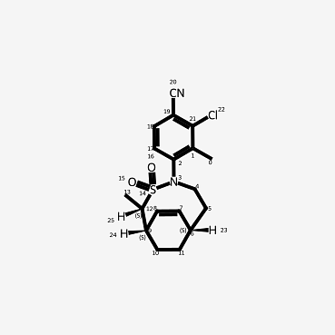 Cc1c(N2CC[C@H]3C=C[C@H](CC3)[C@H](C)S2(=O)=O)ccc(C#N)c1Cl